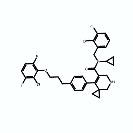 O=C(C1=C(c2ccc(CCCOc3c(F)ccc(F)c3Cl)cc2)C2(CC2)CNC1)N(Cc1cccc(Cl)c1Cl)C1CC1